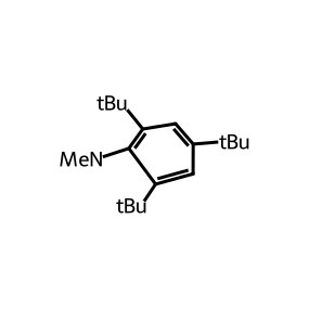 CNc1c(C(C)(C)C)cc(C(C)(C)C)cc1C(C)(C)C